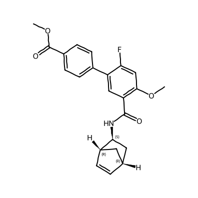 COC(=O)c1ccc(-c2cc(C(=O)N[C@H]3C[C@@H]4C=C[C@H]3C4)c(OC)cc2F)cc1